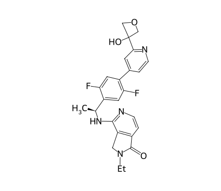 CCN1Cc2c(ccnc2N[C@@H](C)c2cc(F)c(-c3ccnc(C4(O)COC4)c3)cc2F)C1=O